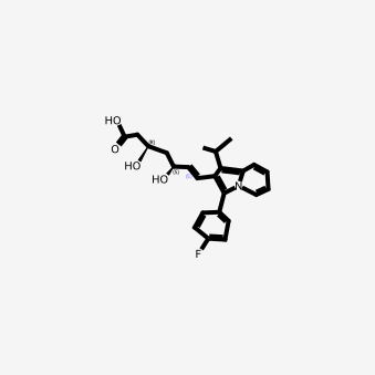 CC(C)c1c(/C=C/[C@@H](O)C[C@@H](O)CC(=O)O)c(-c2ccc(F)cc2)n2ccccc12